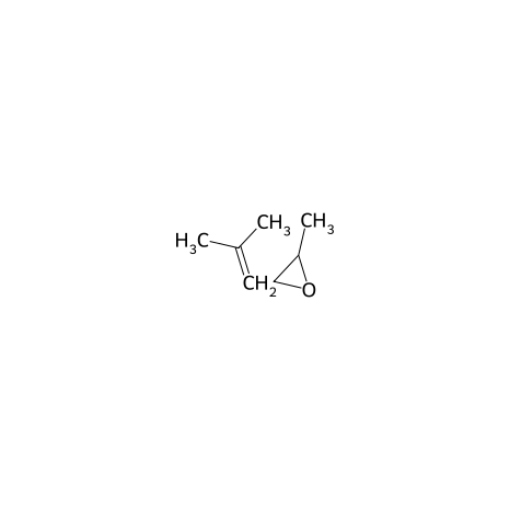 C=C(C)C.CC1CO1